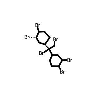 BrCC(Br)(C1CCC(Br)C(Br)C1)[C@@H]1CCC(Br)[C@@H](Br)C1